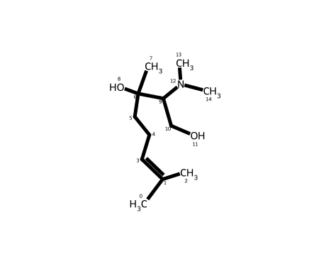 CC(C)=CCCC(C)(O)C(CO)N(C)C